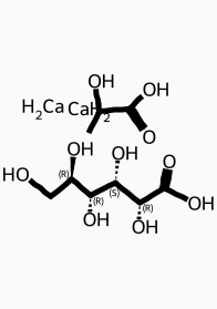 CC(O)C(=O)O.O=C(O)[C@H](O)[C@@H](O)[C@H](O)[C@H](O)CO.[CaH2].[CaH2]